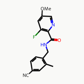 COc1cnc(C(=O)NCc2ccc(C#N)cc2C)c(F)c1